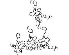 NC(=O)c1cccc2c1c1c(OCC(=O)O)cccc1n2CCc1cccc(Oc2ccccc2)c1.NC(=O)c1cccc2c1c1c(OCC(=O)O)cccc1n2Cc1cccc(F)c1.NC(=O)c1cccc2c1c1c(OCC(=O)O)cccc1n2Cc1ccccc1.NC(=O)c1cccc2c1c1c(OCC(=O)O)cccc1n2Cc1ccccc1F.[LiH]